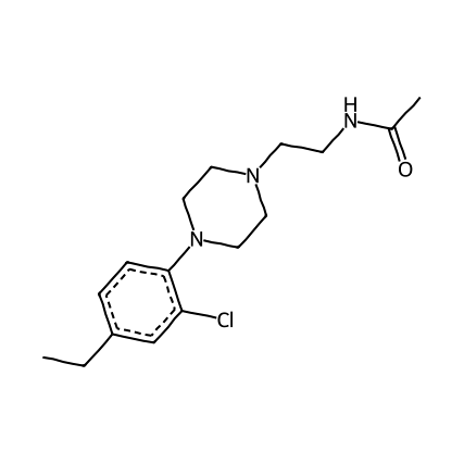 CCc1ccc(N2CCN(CCNC(C)=O)CC2)c(Cl)c1